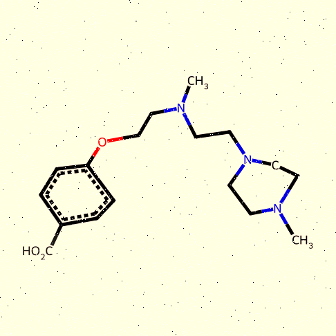 CN(CCOc1ccc(C(=O)O)cc1)CCN1CCN(C)CC1